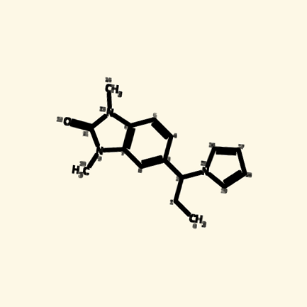 CCC(c1ccc2c(c1)n(C)c(=O)n2C)n1cccc1